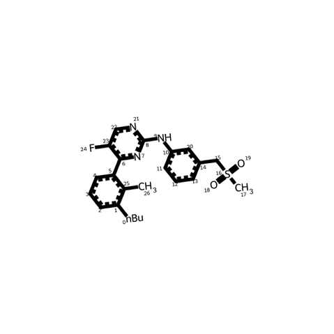 CCCCc1cccc(-c2nc(Nc3cccc(CS(C)(=O)=O)c3)ncc2F)c1C